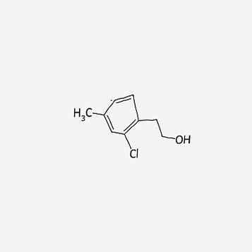 Cc1[c]cc(CCO)c(Cl)c1